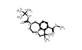 COC(=O)c1ccc2c3c1C(C)(C)CN3CCN(C(=O)OC(C)(C)C)C2